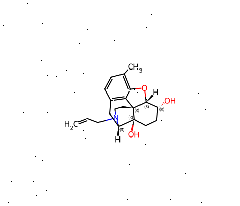 C=CCN1CC[C@@]23c4c5ccc(C)c4O[C@@H]2[C@H](O)CC[C@]3(O)[C@@H]1C5